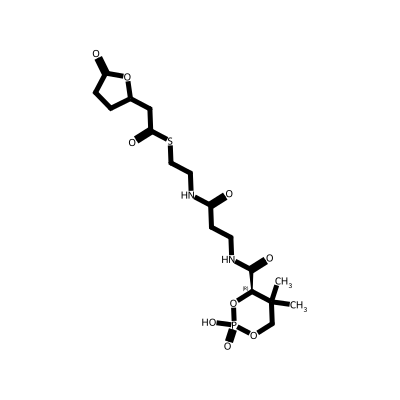 CC1(C)COP(=O)(O)O[C@H]1C(=O)NCCC(=O)NCCSC(=O)CC1CCC(=O)O1